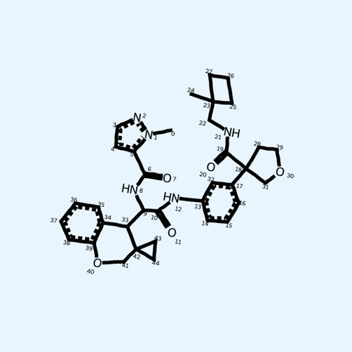 Cn1nccc1C(=O)NC(C(=O)Nc1cccc(C2(C(=O)NCC3(C)CCC3)CCOC2)c1)C1c2ccccc2OCC12CC2